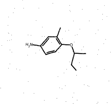 CCC(C)Oc1ccc(N)cc1C